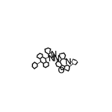 C1=CC2c3ccc4oc5ccc6c7c5c4c3n(c3cccc(c73)n6-c3nc(-c4c5ccccc5c(-c5ccccc5)c5ccccc45)c4ccccc4n3)C2C=C1